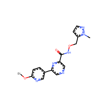 CCOc1ccc(-c2cncc(C(=O)NOCc3ccnn3C)n2)cn1